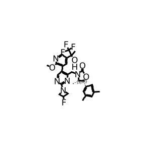 COc1ncc(C(C)(O)C(F)(F)F)cc1-c1cnc(N2CC(F)C2)nc1CN1C(=O)O[C@H](c2cc(C)cc(C)c2)[C@@H]1C